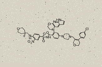 O=C(NS(=O)(=O)c1ccc(NCC2(F)CCOCC2)c([N+](=O)[O-])c1)c1ccc(N2CCN(CC3=C(c4ccc(Cl)cc4)CCOC3)CC2)cc1N1CCOc2nc3[nH]ccc3cc21